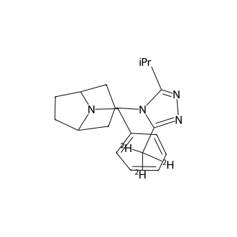 [2H]C([2H])([2H])c1nnc(C(C)C)n1C1CC2CCC(C1)N2Cc1ccccc1